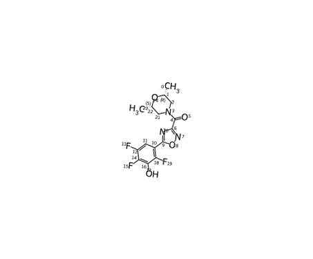 C[C@@H]1CN(C(=O)c2noc(-c3cc(F)c(F)c(O)c3F)n2)C[C@H](C)O1